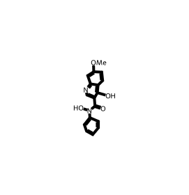 COc1ccc2c(O)c(C(=O)N(O)c3ccccc3)cnc2c1